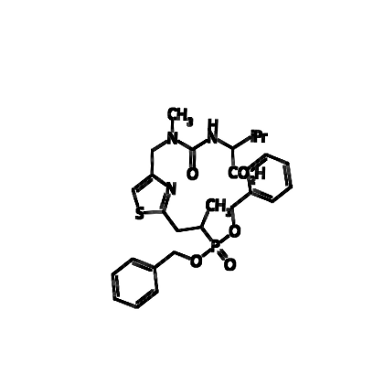 CC(C)C(NC(=O)N(C)Cc1csc(CC(C)P(=O)(OCc2ccccc2)OCc2ccccc2)n1)C(=O)O